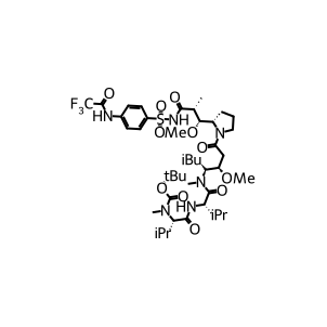 CC[C@H](C)[C@@H]([C@@H](CC(=O)N1CCC[C@H]1[C@H](OC)[C@@H](C)C(=O)NS(=O)(=O)c1ccc(NC(=O)C(F)(F)F)cc1)OC)N(C)C(=O)[C@@H](NC(=O)[C@H](C(C)C)N(C)C(=O)OC(C)(C)C)C(C)C